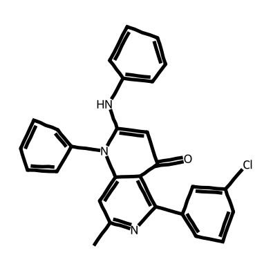 Cc1cc2c(c(-c3cccc(Cl)c3)n1)c(=O)cc(Nc1ccccc1)n2-c1ccccc1